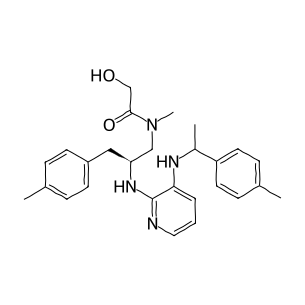 Cc1ccc(C[C@@H](CN(C)C(=O)CO)Nc2ncccc2NC(C)c2ccc(C)cc2)cc1